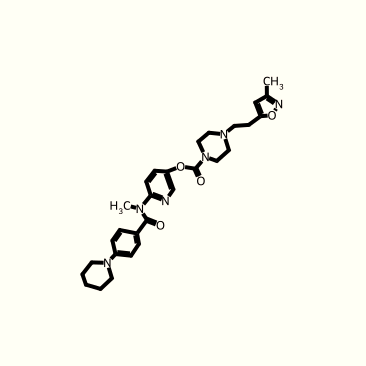 Cc1cc(CCN2CCN(C(=O)Oc3ccc(N(C)C(=O)c4ccc(N5CCCCC5)cc4)nc3)CC2)on1